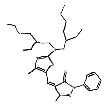 CCCCC(CC)CN(CC(CC)CCCC)c1nc(C)c(/C=C2\C(=O)N(c3ccccc3)N=C2C)s1